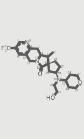 CC1C2Cc3ncc(C(F)(F)F)cc3CN2C(=O)[C@]12CC[C@@H](N(CCO)C1CCOCC1)C2